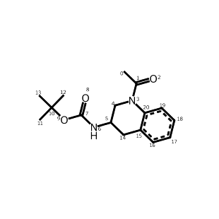 CC(=O)N1CC(NC(=O)OC(C)(C)C)Cc2ccccc21